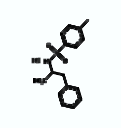 Cc1ccc(S(=O)(=O)NC(Cc2ccccc2)C(=O)O)cc1.Cl